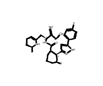 CC1CCC=C(C[C@H](NC(=O)C2CCCC(F)[C@@H]2c2cc(-c3ccc(F)cc3)[nH]n2)C(=N)CO)N1